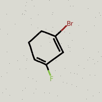 FC1=CCCC(Br)=C1